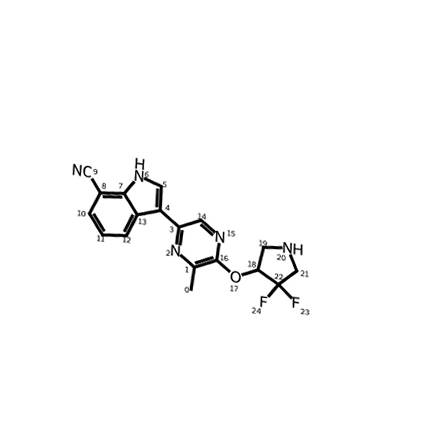 Cc1nc(-c2c[nH]c3c(C#N)cccc23)cnc1OC1CNCC1(F)F